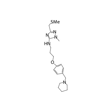 CSCc1nc(NCCCOc2ccc(CN3CCCCC3)cc2)n(C)n1